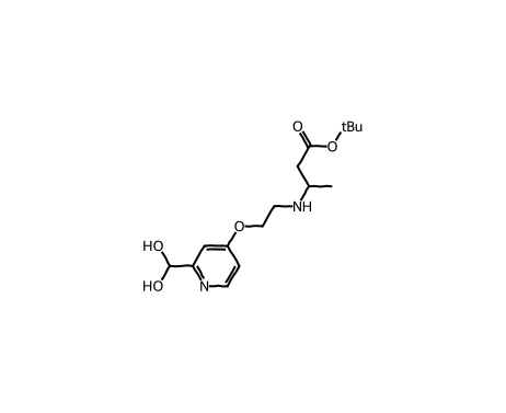 CC(CC(=O)OC(C)(C)C)NCCOc1ccnc(C(O)O)c1